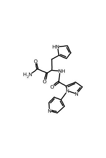 NC(=O)C(=O)C(Cc1ccc[nH]1)NC(=O)c1ccnn1-c1ccncc1